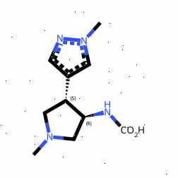 CN1C[C@H](NC(=O)O)[C@@H](c2cnn(C)c2)C1